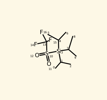 CC(C)[Si](C(C)C)(C(C)C)S(=O)(=O)C(F)(F)F